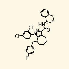 O=C(N[C@@H]1CCCc2ccccc21)c1nn(-c2ccc(Cl)cc2Cl)c2c1CCCCC2Cc1ccc(F)cc1